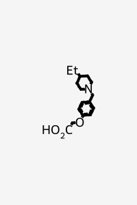 CCC1CCN(Cc2ccc(OCC(=O)O)cc2)CC1